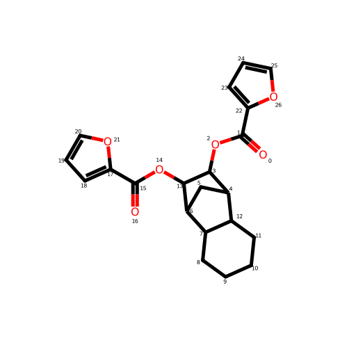 O=C(OC1C2CC(C3CCCCC32)C1OC(=O)c1ccco1)c1ccco1